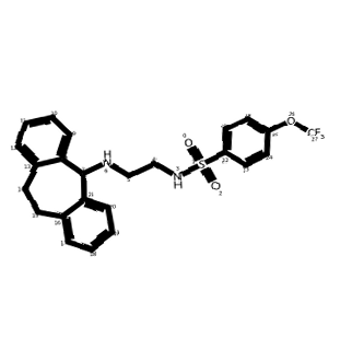 O=S(=O)(NCCNC1c2ccccc2CCc2ccccc21)c1ccc(OC(F)(F)F)cc1